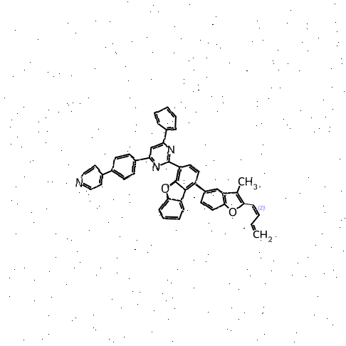 C=C/C=C\c1oc2ccc(-c3ccc(-c4nc(-c5ccccc5)cc(-c5ccc(-c6ccncc6)cc5)n4)c4oc5ccccc5c34)cc2c1C